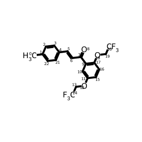 Cc1ccc(C=CC(=O)c2cc(OCC(F)(F)F)ccc2OCC(F)(F)F)cc1